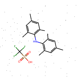 Cc1cc(C)c(Nc2c(C)cc(C)cc2C)c(C)c1.O=S(=O)(O)C(F)(F)F